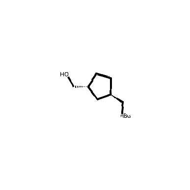 CCCCC[C@@H]1CC[C@@H](CO)C1